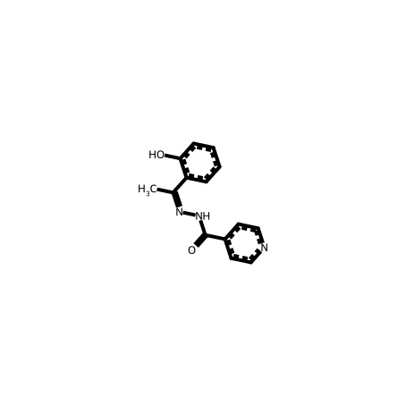 CC(=NNC(=O)c1ccncc1)c1ccccc1O